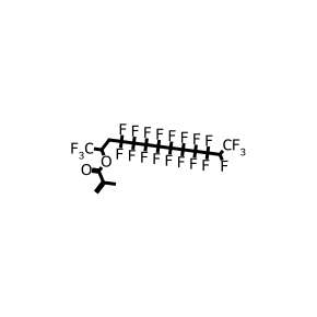 C=C(C)C(=O)OC(CC(F)(F)C(F)(F)C(F)(F)C(F)(F)C(F)(F)C(F)(F)C(F)(F)C(F)(F)C(F)C(F)(F)F)C(F)(F)F